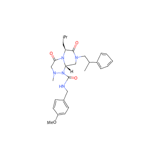 COc1ccc(CNC(=O)N2[C@H]3CN(CC(C)c4ccccc4)C(=O)[C@H](CC(C)C)N3C(=O)CN2C)cc1